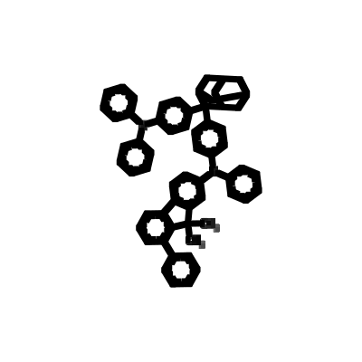 CC1(C)c2cc(N(c3ccccc3)c3ccc(C4(c5ccc(N(c6ccccc6)c6ccccc6)cc5)C5CC6CC(C5)CC4C6)cc3)ccc2-c2cccc(-c3ccccc3)c21